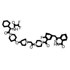 O=C(N[C@@H](C(=O)N1CCC(OC2CCN(CC(=O)N3CCN(C(=O)c4cc(Cc5n[nH]c(=O)c6ccccc56)ccc4F)CC3)CC2)CC1)C1CCCCC1)C(F)F